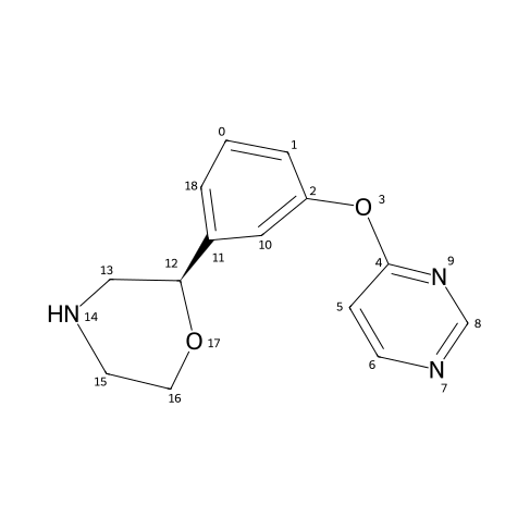 c1cc(Oc2ccncn2)cc([C@@H]2CNCCO2)c1